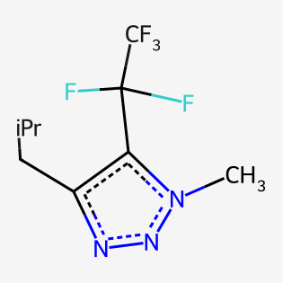 CC(C)Cc1nnn(C)c1C(F)(F)C(F)(F)F